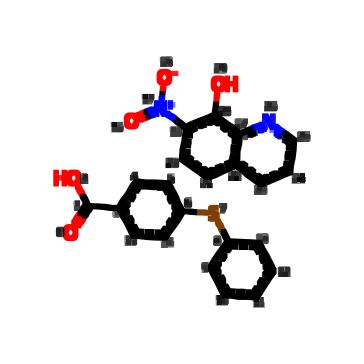 O=C(O)c1ccc(Sc2ccccc2)cc1.O=[N+]([O-])c1ccc2cccnc2c1O